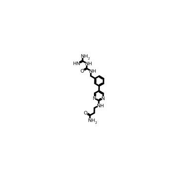 N=C(N)NC(=O)NCc1cccc(-c2cnc(NCCC(N)=O)nc2)c1